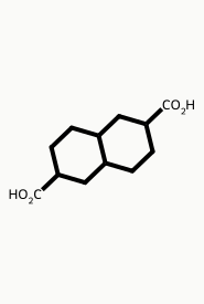 O=C(O)C1CCC2CC(C(=O)O)CCC2C1